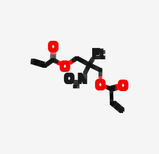 C=CC(=O)OCC(CC)(COC(=O)C=C)[N+](=O)[O-]